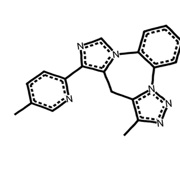 Cc1ccc(-c2ncn3c2Cc2c(C)nnn2-c2ccccc2-3)nc1